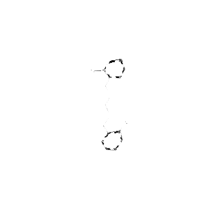 O=[N+]([O-])c1ccccc1CO[C]OCc1ccccc1[N+](=O)[O-]